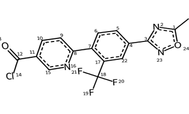 Cc1nc(-c2ccc(-c3ccc(C(=O)Cl)cn3)c(C(F)(F)F)c2)no1